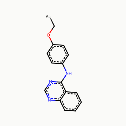 CC(=O)COc1ccc(Nc2ncnc3ccccc23)cc1